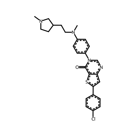 CN1CCC(CCN(C)c2ccc(-n3cnc4cc(-c5ccc(Cl)cc5)sc4c3=O)cc2)C1